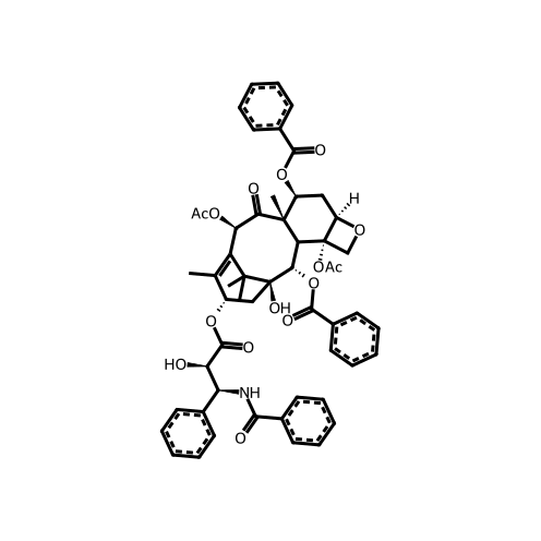 CC(=O)O[C@H]1C(=O)[C@@]2(C)C([C@H](OC(=O)c3ccccc3)[C@]3(O)C[C@H](OC(=O)[C@H](O)[C@@H](NC(=O)c4ccccc4)c4ccccc4)C(C)=C1C3(C)C)[C@]1(OC(C)=O)CO[C@@H]1C[C@@H]2OC(=O)c1ccccc1